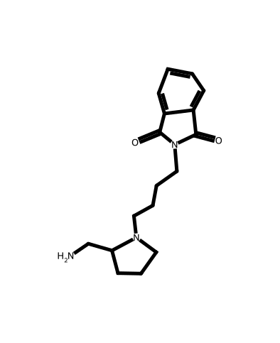 NCC1CCCN1CCCCN1C(=O)c2ccccc2C1=O